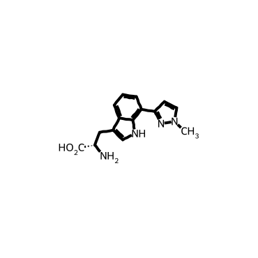 Cn1ccc(-c2cccc3c(C[C@H](N)C(=O)O)c[nH]c23)n1